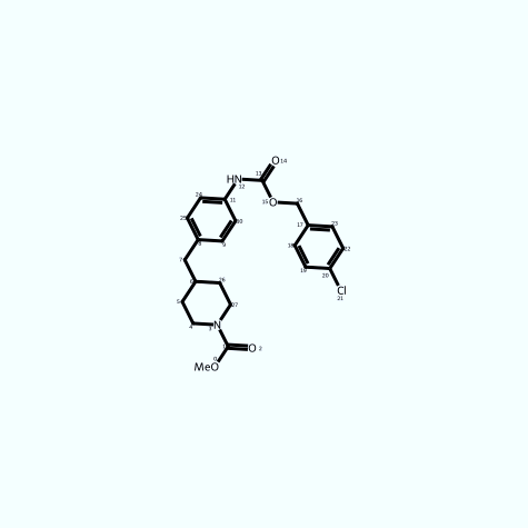 COC(=O)N1CCC(Cc2ccc(NC(=O)OCc3ccc(Cl)cc3)cc2)CC1